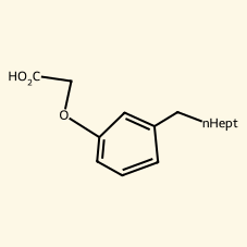 CCCCCCCCc1cccc(OCC(=O)O)c1